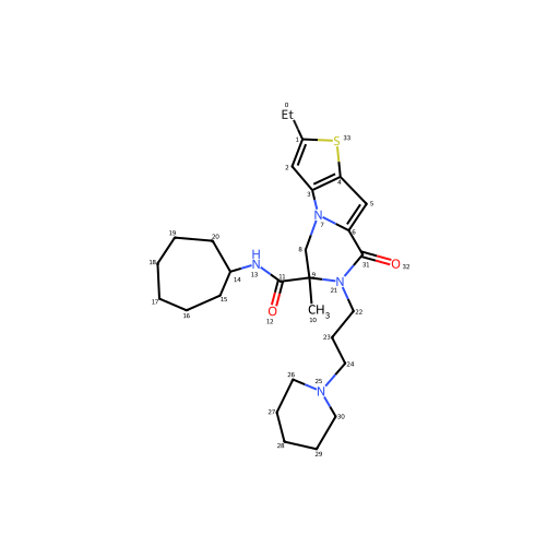 CCc1cc2c(cc3n2CC(C)(C(=O)NC2CCCCCC2)N(CCCN2CCCCC2)C3=O)s1